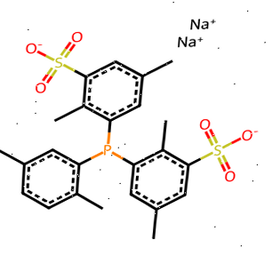 Cc1ccc(C)c(P(c2cc(C)cc(S(=O)(=O)[O-])c2C)c2cc(C)cc(S(=O)(=O)[O-])c2C)c1.[Na+].[Na+]